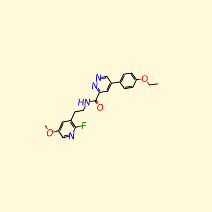 CCOc1ccc(-c2cnnc(C(=O)NCCc3cc(OC)cnc3F)c2)cc1